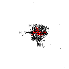 CC[C@H](C)[C@H](NC(=O)[C@@H]1CCCN1C(=O)[C@@H]1CCCN1C(=O)[C@@H](NC(=O)[C@H](CO)NC(=O)[C@H](CCCCN)NC(=O)[C@@H](NC(=O)[C@H](CS)NC(=O)[C@H](CCCNC(=N)N)NC(=O)CNC(=O)[C@@H](N)CCCCN)[C@@H](C)O)[C@@H](C)CC)C(=O)N[C@@H](CS)C(=O)N[C@@H](Cc1ccccc1)C(=O)N1CCC[C@H]1C(=O)O